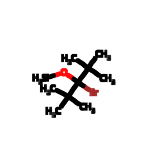 CC(C)(C)C(Br)(O[SiH3])C(C)(C)C